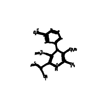 CCOC(=O)C1=C(C)NC(C(O)SC)=C(C(=O)OCC)C1c1cccc([N+](=O)[O-])c1